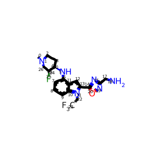 CN1CC[C@@H](Nc2cccc3c2cc(-c2nc(CN)no2)n3CC(F)(F)F)[C@@H](F)C1